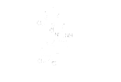 Cc1[nH]c(Cc2cccc(Cl)c2Cl)nc1-c1ccc(Cl)c(Cl)c1